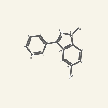 Cn1nc(-c2cccnc2)c2cc(Br)ccc21